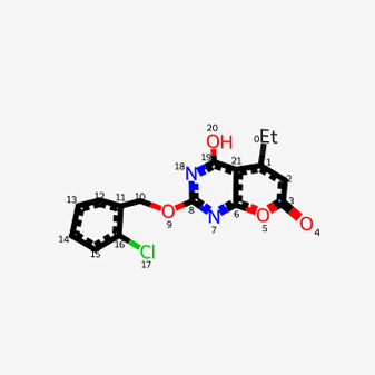 CCc1cc(=O)oc2nc(OCc3ccccc3Cl)nc(O)c12